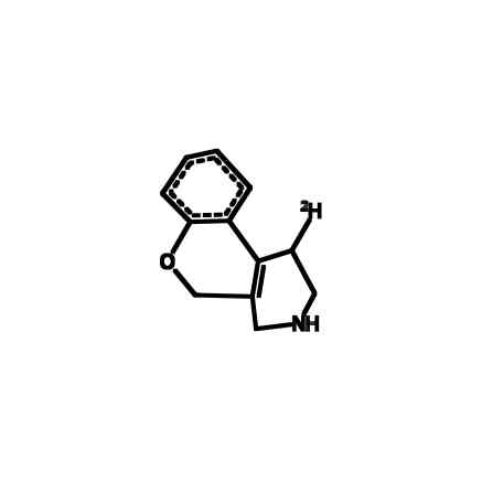 [2H]C1CNCC2=C1c1ccccc1OC2